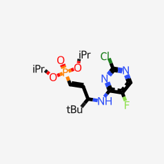 CC(C)OP(=O)(/C=C/C(Nc1nc(Cl)ncc1F)C(C)(C)C)OC(C)C